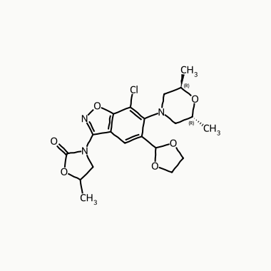 CC1CN(c2noc3c(Cl)c(N4C[C@@H](C)O[C@H](C)C4)c(C4OCCO4)cc23)C(=O)O1